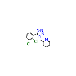 Clc1cccc(-c2nnnn2Cc2ccccn2)c1Cl